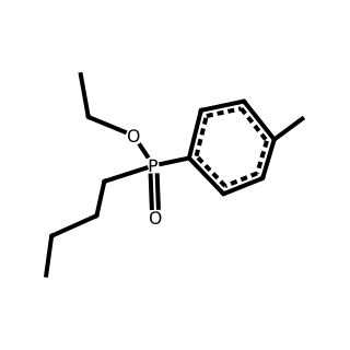 CCCCP(=O)(OCC)c1ccc(C)cc1